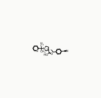 CC(C)(c1ccccn1)N1CC[C@@](CCc2ccc(C#N)cc2)(C(=O)O)C1